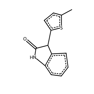 Cc1ccc(C2C(=O)Nc3ccccc32)s1